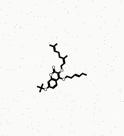 CCC=CCCOc1c(OCC=C(C)CCC=C(C)C)c(=O)oc2cc(OC(C)(C)C)ccc12